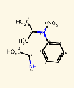 C[C@@H](C(=O)O)N(c1ccccc1)[N+](=O)[O-].NCC(=O)O